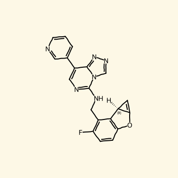 Fc1ccc2c(c1CNc1ncc(-c3cccnc3)c3nncn13)[C@H]1C=C1O2